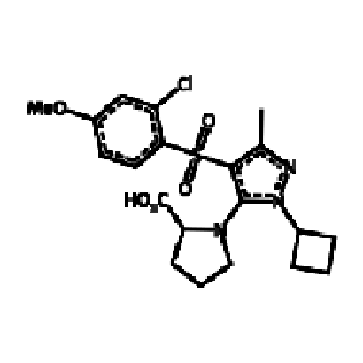 COc1ccc(S(=O)(=O)c2c(C)nn(C3CCC3)c2N2CCCC2C(=O)O)c(Cl)c1